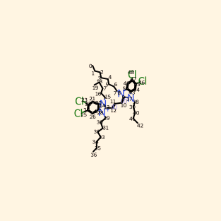 CCCCCCCCN1/C(=C\C=C\c2n(CCCCC)c3cc(Cl)c(Cl)cc3[n+]2CCCCCCCC)N(CCCCC)c2cc(Cl)c(Cl)cc21